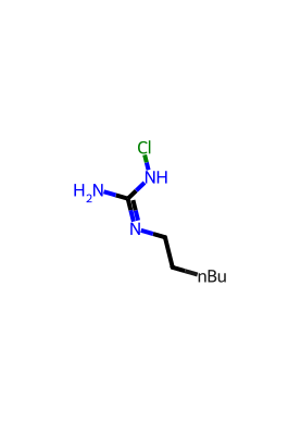 CCCCCCN=C(N)NCl